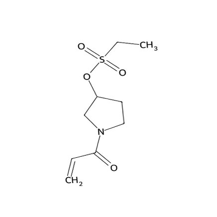 C=CC(=O)N1CCC(OS(=O)(=O)CC)C1